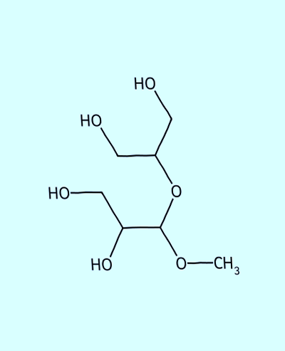 COC(OC(CO)CO)C(O)CO